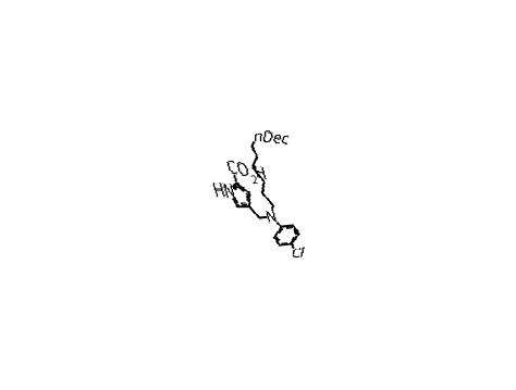 CCCCCCCCCCCCCCCCN(Cc1c[nH]c(C(=O)O)c1)c1ccc(Cl)cc1